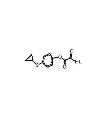 CCC(=O)C(=O)Oc1ccc(SC2CC2)cc1